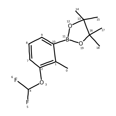 Cc1c(OC(F)F)cccc1B1OC(C)(C)C(C)(C)O1